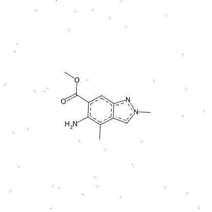 COC(=O)c1cc2nn(C)cc2c(C)c1N